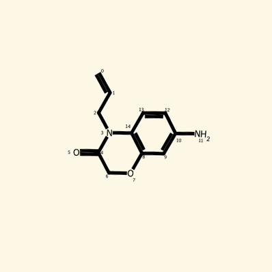 C=CCN1C(=O)COc2cc(N)ccc21